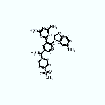 Cc1nc(N)nc(-c2cc(C(C)N3CCN(S(C)(=O)=O)CC3)cnc2N2CSc3ccc(N)cc32)n1